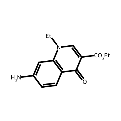 CCOC(=O)c1cn(CC)c2cc(N)ccc2c1=O